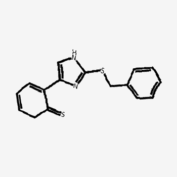 S=C1CC=CC=C1c1c[nH]c(SCc2ccccc2)n1